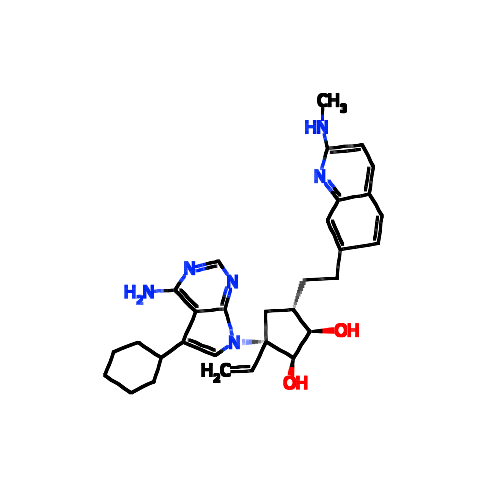 C=C[C@@]1(n2cc(C3CCCCC3)c3c(N)ncnc32)C[C@H](CCc2ccc3ccc(NC)nc3c2)[C@@H](O)[C@H]1O